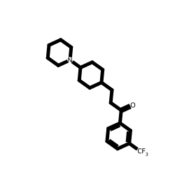 O=C(CCC1CCC(N2CCCCC2)CC1)c1cccc(C(F)(F)F)c1